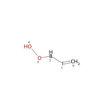 C=IBOO